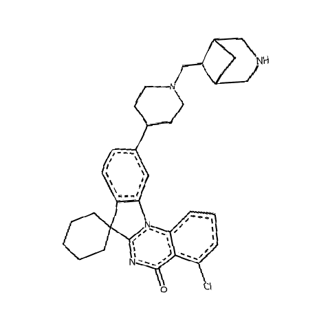 O=c1nc2n(c3cccc(Cl)c13)-c1cc(C3CCN(CC4C5CNCC4C5)CC3)ccc1C21CCCCC1